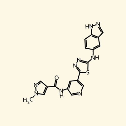 Cn1cc(C(=O)Nc2cncc(-c3nnc(Nc4ccc5[nH]ncc5c4)s3)c2)cn1